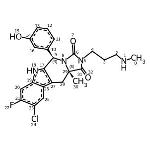 CNCCCN1C(=O)N2[C@H](c3cccc(O)c3)c3[nH]c4cc(F)c(Cl)cc4c3C[C@@]2(C)C1=O